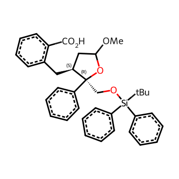 COC1C[C@H](Cc2ccccc2C(=O)O)[C@](CO[Si](c2ccccc2)(c2ccccc2)C(C)(C)C)(c2ccccc2)O1